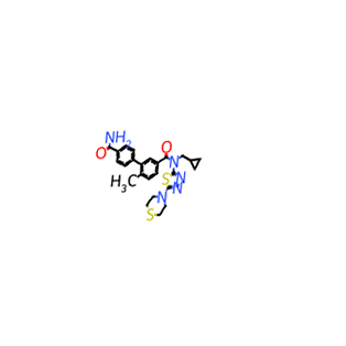 Cc1ccc(C(=O)N(CC2CC2)c2nnc(N3CCSCC3)s2)cc1-c1ccc(C(N)=O)cc1